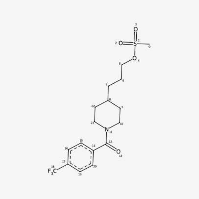 CS(=O)(=O)OCCCC1CCN(C(=O)c2ccc(C(F)(F)F)cc2)CC1